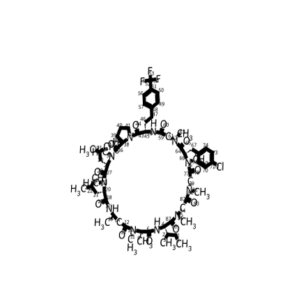 CCC(C)[C@@H]1NC(=O)[C@H](C)N(C)C(=O)C[C@@H](C)NC(=O)[C@H](CC(C)C)N(C)C(=O)[C@H](CC(C)C)N(C)C(=O)[C@@H]2CCCN2C(=O)[C@H](CCc2ccc(C(F)(F)F)cc2)NC(=O)CN(C)C(=O)[C@H](Cc2ccc(Cl)cc2)N(C)C(=O)CN(C)C(=O)CN(C)C1=O